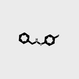 Fc1ccc(SNCc2ccccc2)cc1